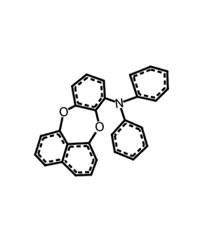 c1ccc(N(c2ccccc2)c2cccc3c2Oc2cccc4cccc(c24)O3)cc1